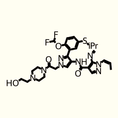 C=Nc1c(C(=O)Nc2cn(CC(=O)N3CCN(CCO)CC3)nc2-c2cc(SC(C)C)ccc2OC(F)F)cnn1/C=C\C